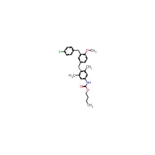 CCCCOC(=O)Nc1cc(C)c(Cc2ccc(OC)c(Cc3ccc(F)cc3)c2)c(C)c1